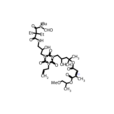 C=CCn1c(=O)n(CC(O)CNC(=O)C(CC)(CC)C(=O)N(C=O)C(C)(C)C)c(=O)n(CC(O)CC(C)(C)OC(=O)/C=C(/C)C(=O)OC(C)COC)c1=O